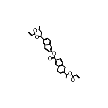 C=CC(=O)OC(C)C1=CCc2cc(C(=O)Oc3ccc4cc(C(CCC)OC(=O)C=C)ccc4c3)ccc2C1